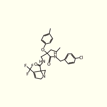 CCCC(CNC(=O)C12CN1CC=C2C(F)(F)F)(Oc1ccc(C)cc1)C(=O)NCc1ccc(Cl)cc1